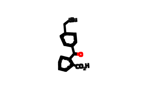 CC(C)(C)Cc1ccc(C(=O)c2ccccc2C(=O)O)cc1